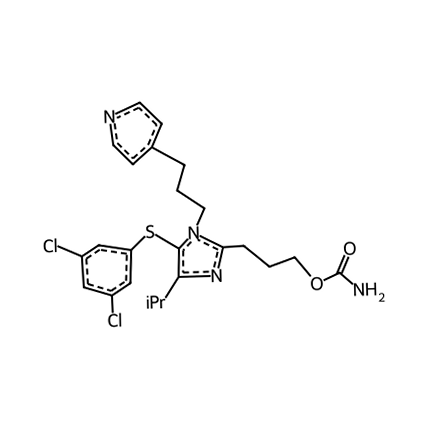 CC(C)c1nc(CCCOC(N)=O)n(CCCc2ccncc2)c1Sc1cc(Cl)cc(Cl)c1